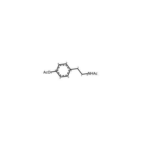 CC(=O)NCCc1ccc(OC(C)=O)cc1